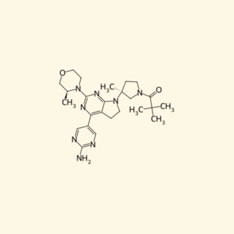 C[C@H]1COCCN1c1nc(-c2cnc(N)nc2)c2c(n1)N([C@@]1(C)CCN(C(=O)C(C)(C)C)C1)CC2